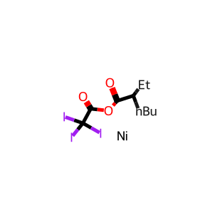 CCCCC(CC)C(=O)OC(=O)C(I)(I)I.[Ni]